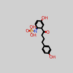 O=C(CCCc1ccc(O)cc1)C1C=C(O)C=C/C1=N\P(=O)(O)O